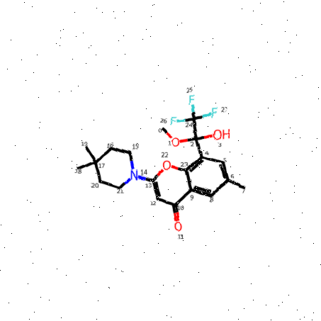 COC(O)(c1cc(C)cc2c(=O)cc(N3CCC(C)(C)CC3)oc12)C(F)(F)F